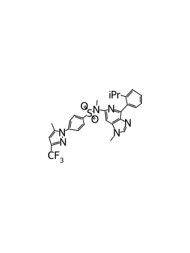 Cc1cc(C(F)(F)F)nn1-c1ccc(S(=O)(=O)N(C)c2cc3c(ncn3C)c(-c3ccccc3C(C)C)n2)cc1